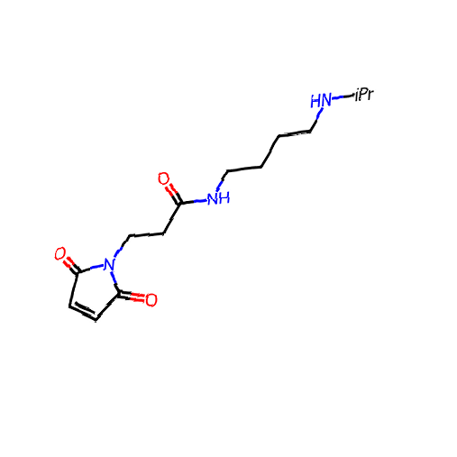 CC(C)NCCCCNC(=O)CCN1C(=O)C=CC1=O